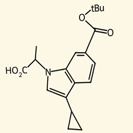 CC(C(=O)O)n1cc(C2CC2)c2ccc(C(=O)OC(C)(C)C)cc21